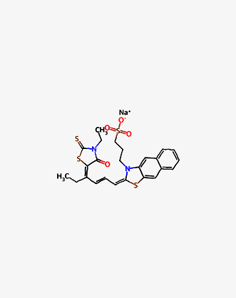 CCC(C=CC=C1Sc2cc3ccccc3cc2N1CCCS(=O)(=O)[O-])=C1SC(=S)N(CC)C1=O.[Na+]